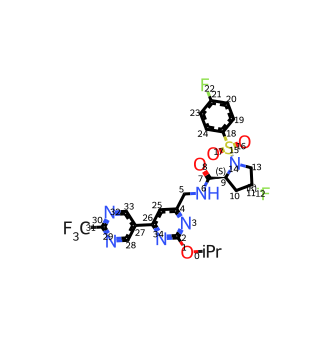 CC(C)Oc1nc(CNC(=O)[C@@H]2C[C@@H](F)CN2S(=O)(=O)c2ccc(F)cc2)cc(-c2cnc(C(F)(F)F)nc2)n1